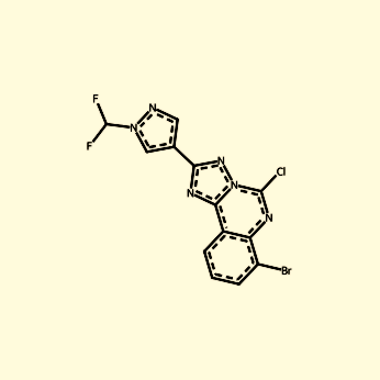 FC(F)n1cc(-c2nc3c4cccc(Br)c4nc(Cl)n3n2)cn1